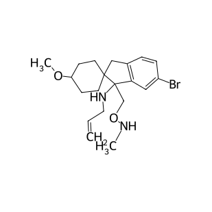 C=CCNC1(CONC)c2cc(Br)ccc2CC12CCC(OC)CC2